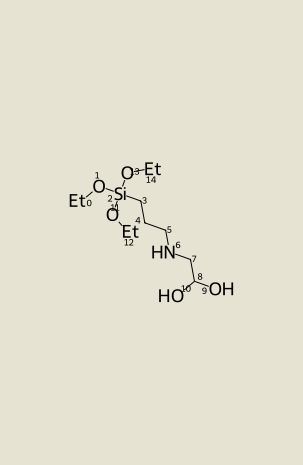 CCO[Si](CCCNCC(O)O)(OCC)OCC